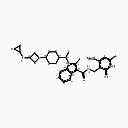 CSc1cc(C)[nH]c(=O)c1CNC(=O)c1c(C)n(C(C)C2CCC(N3CC(OC4CC4)C3)CC2)c2ccccc12